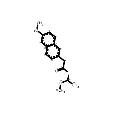 COc1ccc2cc(CC(=O)OC(C)OC)ccc2c1